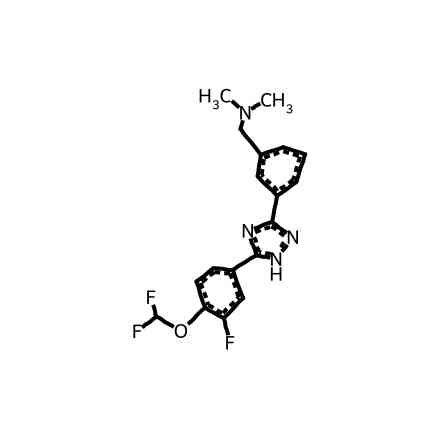 CN(C)Cc1cccc(-c2n[nH]c(-c3ccc(OC(F)F)c(F)c3)n2)c1